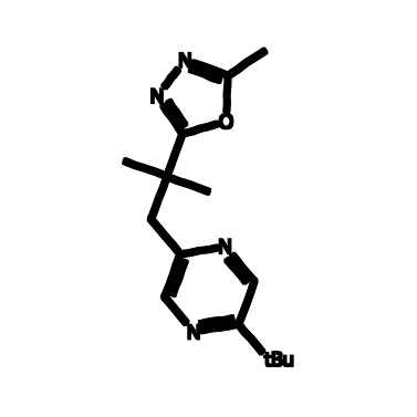 Cc1nnc(C(C)(C)Cc2cnc(C(C)(C)C)cn2)o1